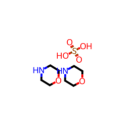 C1COCCN1.C1COCCN1.O=S(=O)(O)O